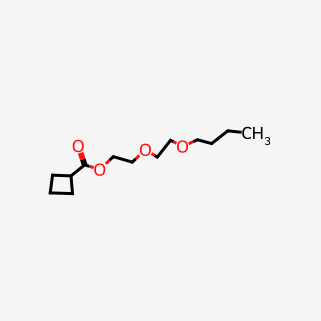 CCCCOCCOCCOC(=O)C1CCC1